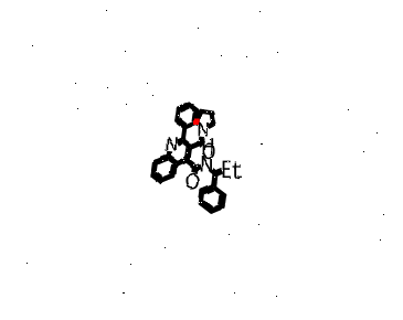 CCC(NC(=O)c1c(C(=O)N2CCCC2)c(-c2ccccc2)nc2ccccc12)c1ccccc1